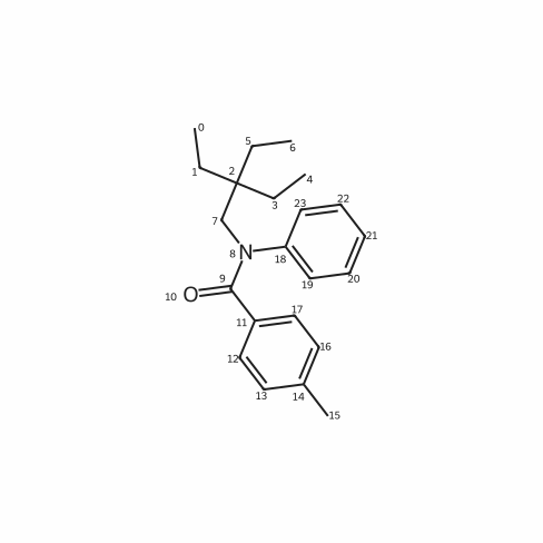 CCC(CC)(CC)CN(C(=O)c1ccc(C)cc1)c1ccccc1